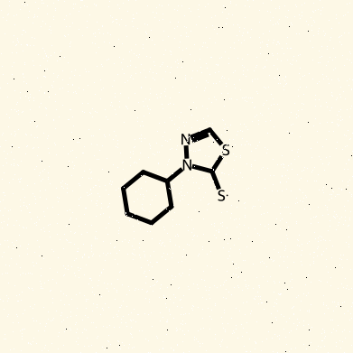 [S]C1SC=NN1C1CCCCC1